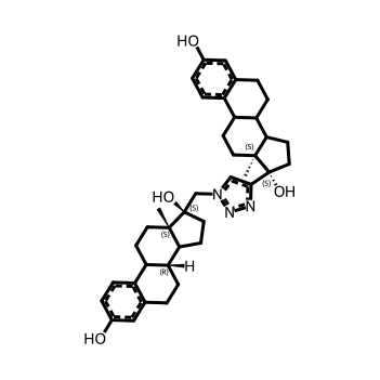 C[C@]12CCC3c4ccc(O)cc4CC[C@H]3C1CC[C@@]2(O)Cn1cc([C@]2(O)CCC3C4CCc5cc(O)ccc5C4CC[C@@]32C)nn1